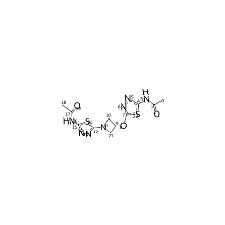 CC(=O)Nc1nnc(OC2CN(c3nnc(NC(C)=O)s3)C2)s1